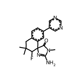 CN1C(=O)C2(N=C1N)c1cc(-c3cncnc3)ccc1CC(C)(C)C2F